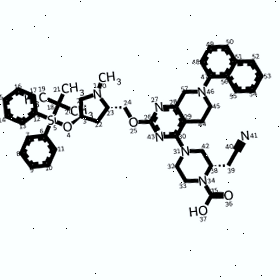 CN1C[C@H](O[Si](c2ccccc2)(c2ccccc2)C(C)(C)C)C[C@H]1COc1nc2c(c(N3CCN(C(=O)O)[C@@H](CC#N)C3)n1)CCN(c1cccc3ccccc13)C2